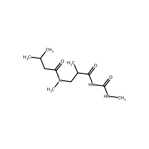 CNC(=O)NC(=O)C(C)CN(C)C(=O)CC(C)C